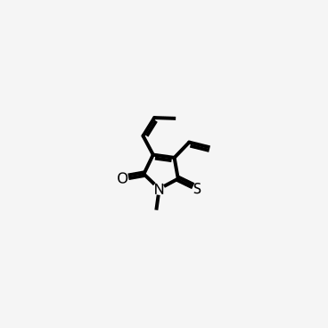 C=CC1=C(/C=C\C)C(=O)N(C)C1=S